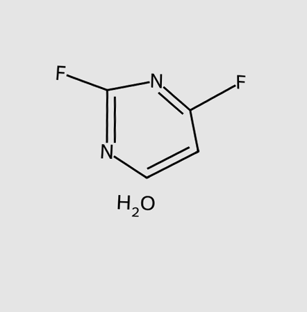 Fc1ccnc(F)n1.O